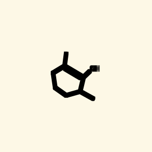 CC1=C(O)C(C)CCC1